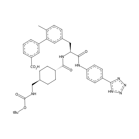 Cc1ccc(C[C@H](NC(=O)[C@H]2CC[C@H](CNC(=O)OC(C)(C)C)CC2)C(=O)Nc2ccc(-c3nnn[nH]3)cc2)cc1-c1cccc(C(=O)O)c1